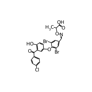 CC(O/N=C\c1cc(Br)c(Oc2ccc(O)c(C(=O)c3ccc(Cl)cc3)c2)c(Br)c1)C(=O)O